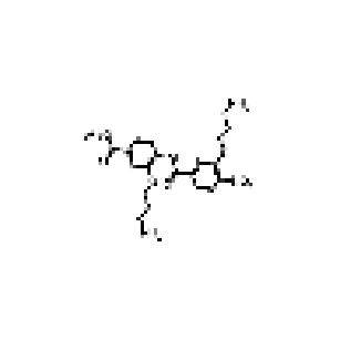 COC(=O)c1ccc(NC(=O)c2ccc([N+](=O)[O-])c(OCCCN)n2)c(OCCCN)n1